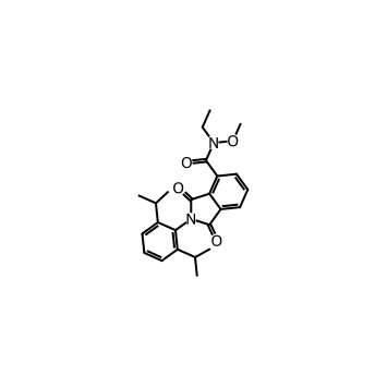 CCN(OC)C(=O)c1cccc2c1C(=O)N(c1c(C(C)C)cccc1C(C)C)C2=O